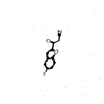 N#CCC(=O)c1cc2cc(F)ccc2o1